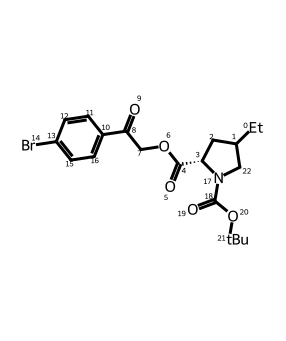 CCC1C[C@@H](C(=O)OCC(=O)c2ccc(Br)cc2)N(C(=O)OC(C)(C)C)C1